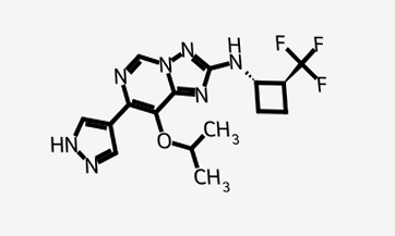 CC(C)Oc1c(-c2cn[nH]c2)ncn2nc(N[C@H]3CC[C@@H]3C(F)(F)F)nc12